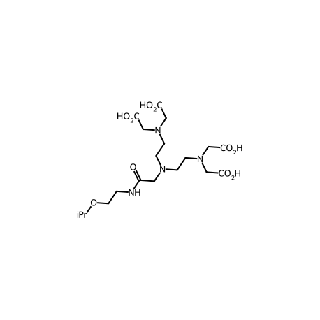 CC(C)OCCNC(=O)CN(CCN(CC(=O)O)CC(=O)O)CCN(CC(=O)O)CC(=O)O